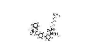 CCCCCCCNC(=O)N(C)c1cccc(-c2ccc(CC(Oc3ccccc3)C(=O)O)cc2)c1